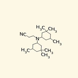 CC1CC(N(CCC#N)C2CC(C)CC(C)(C)C2)CC(C)(C)C1